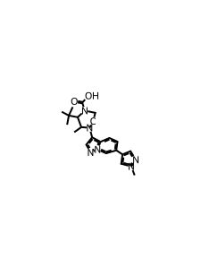 CC1C(C(C)(C)C)N(C(=O)O)CCN1c1cnn2cc(-c3cnn(C)c3)ccc12